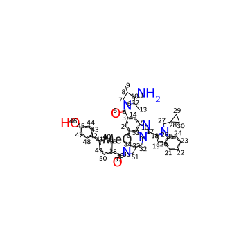 COc1cc(C(=O)N2CC(C)C(N)C2C)cc2nc(-c3cc4ccccc4n3CC3CC3)n(CC3CN(C(=O)c4ccc(-c5ccc(O)cc5)cc4)C3)c12